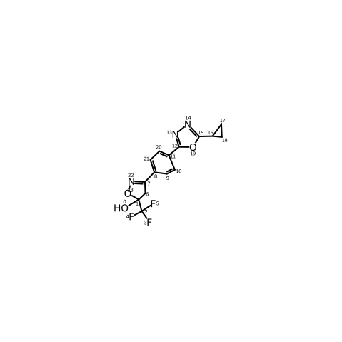 OC1(C(F)(F)F)CC(c2ccc(-c3nnc(C4CC4)o3)cc2)=NO1